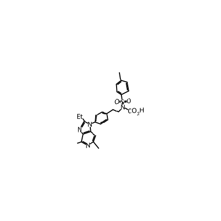 CCc1nc2c(C)nc(C)cc2n1-c1ccc(CCN(C(=O)O)S(=O)(=O)c2ccc(C)cc2)cc1